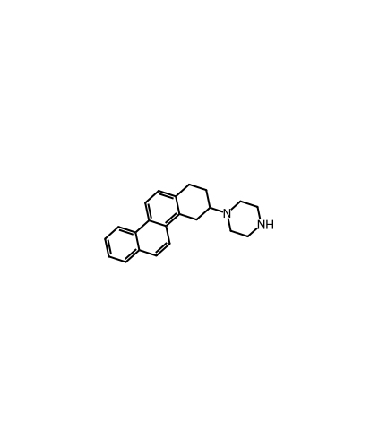 c1ccc2c(c1)ccc1c3c(ccc12)CCC(N1CCNCC1)C3